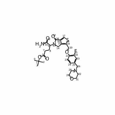 CC(C)(C)OC(=O)CCC(C(N)=O)N1Cc2c(csc2COc2ccc(CN3CCOCC3)cc2F)C1=O